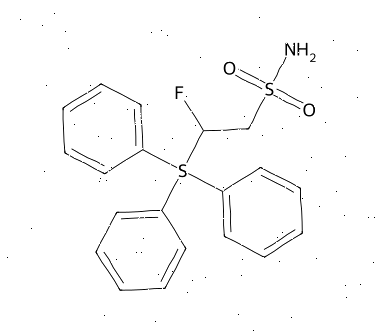 NS(=O)(=O)CC(F)S(c1ccccc1)(c1ccccc1)c1ccccc1